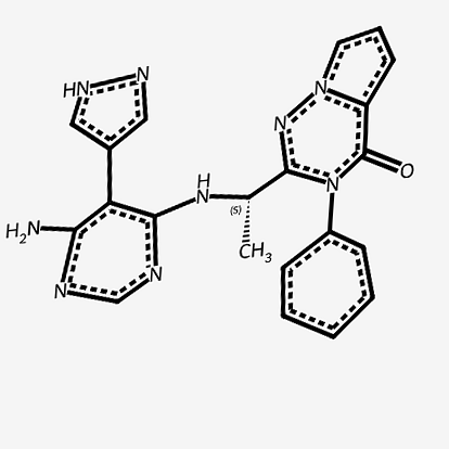 C[C@H](Nc1ncnc(N)c1-c1cn[nH]c1)c1nn2cccc2c(=O)n1-c1ccccc1